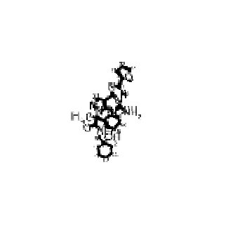 CC(C(=O)NCC1(O)CCCCC1)(c1ccccc1)n1ncc2c1nc(N)n1nc(-c3ccco3)nc21